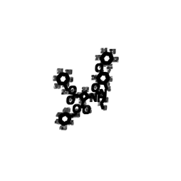 CCCN(Cc1ccc(Oc2ccccc2)cc1)C(=O)NC1CC(C(=O)OCc2ccccc2)C1C(=O)OCc1ccccc1